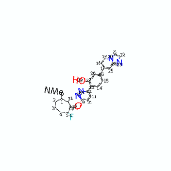 CNC1CCCC(F)[C@@H](Oc2ccc(-c3ccc(-c4ccn5ccnc5c4)cc3O)nn2)C1